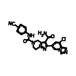 N#Cc1ccc(NC(=O)N2CCn3nc(-c4cc(Cl)c5cncn5c4)c(C(N)=O)c3C2)cc1